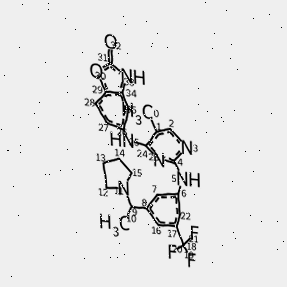 Cc1cnc(Nc2cc(C(C)N3CCCC3)cc(C(F)(F)F)c2)nc1Nc1ccc2oc(=O)[nH]c2c1